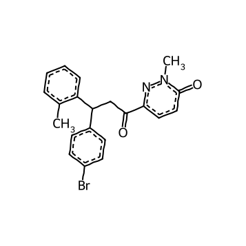 Cc1ccccc1C(CC(=O)c1ccc(=O)n(C)n1)c1ccc(Br)cc1